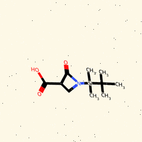 CC(C)(C)[Si](C)(C)N1CC(C(=O)O)C1=O